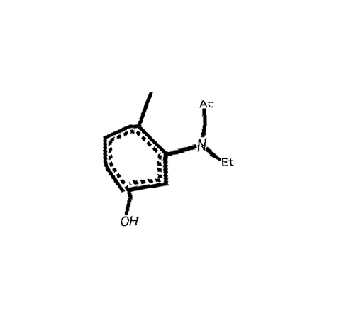 CCN(C(C)=O)c1cc(O)ccc1C